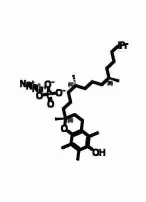 Cc1c(C)c2c(c(C)c1O)CC[C@@](C)(CCC[C@H](C)CCC[C@H](C)CCCC(C)C)O2.O=P([O-])([O-])[O-].[Na+].[Na+].[Na+]